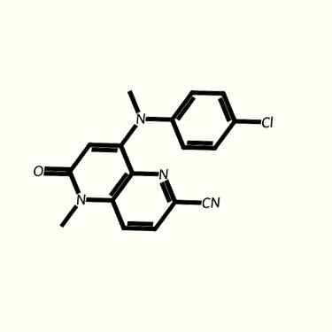 CN(c1ccc(Cl)cc1)c1cc(=O)n(C)c2ccc(C#N)nc12